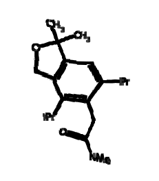 CNC(=O)Cc1c(C(C)C)cc2c(c1C(C)C)COC2(C)C